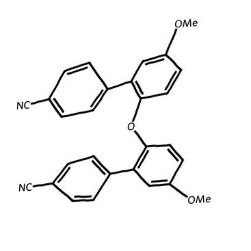 COc1ccc(Oc2ccc(OC)cc2-c2ccc(C#N)cc2)c(-c2ccc(C#N)cc2)c1